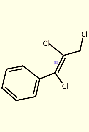 ClC/C(Cl)=C(\Cl)c1ccccc1